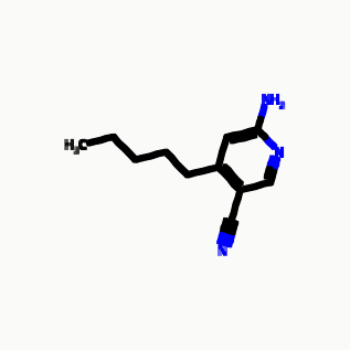 CCCCCc1cc(N)ncc1C#N